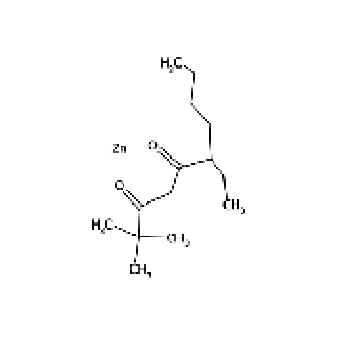 CCCCC(CC)C(=O)CC(=O)C(C)(C)C.[Zn]